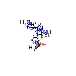 CCNc1c(Br)c(C2CCCN(B(C)O)C2)nc2c(-c3cnn(C)c3)cnn12